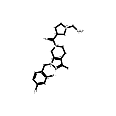 Cc1nn(Cc2ccc(Cl)cc2F)c2c1CCN(C(=O)C1CCN(CC(=O)O)C1)C2